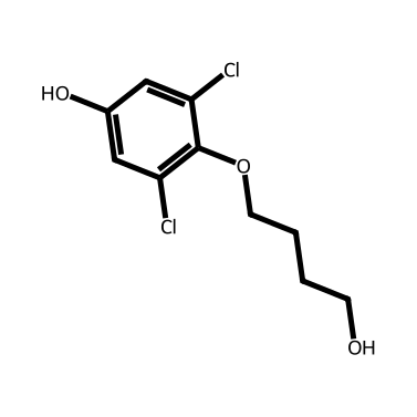 OCCCCOc1c(Cl)cc(O)cc1Cl